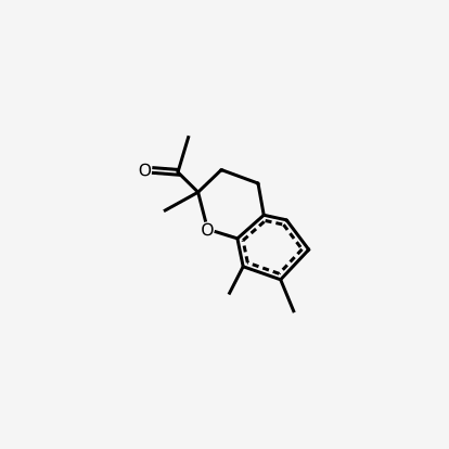 CC(=O)C1(C)CCc2ccc(C)c(C)c2O1